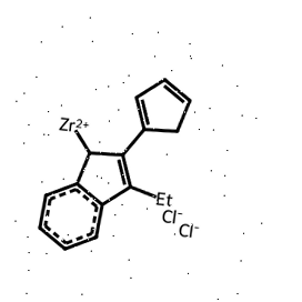 CCC1=C(C2=CC=CC2)[CH]([Zr+2])c2ccccc21.[Cl-].[Cl-]